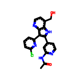 CC(=O)Nc1cc(-c2[nH]c3c(CO)ccnc3c2-c2cccc(Cl)n2)ccn1